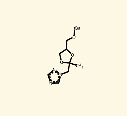 CC(C)(C)OCC1COC(C)(Cn2cncn2)O1